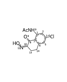 CC(=O)Nc1cc(Cl)cc2c1C(=O)/C(=N\O)CC2